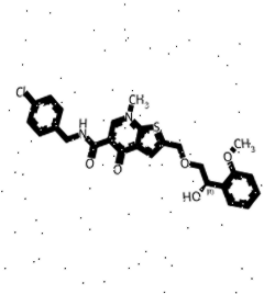 COc1ccccc1[C@@H](O)COCc1cc2c(=O)c(C(=O)NCc3ccc(Cl)cc3)cn(C)c2s1